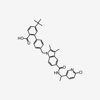 Cc1c(C)n(Cc2ccc(-c3cc(C(C)(C)C)ccc3C(=O)O)cc2)c2ccc(C(=O)NC(C)c3ccc(Cl)nc3)cc12